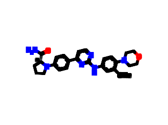 COc1cc(Nc2nccc(-c3ccc(N4CCC[C@@H]4C(N)=O)cc3)n2)ccc1N1CCOCC1